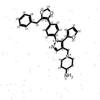 NC1CCN(Cc2cnn(-c3ccc(C4=C(Cc5ccccc5)OCO4)cc3)c2-c2ccco2)CC1